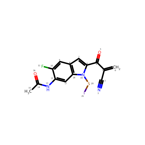 C=C(C#N)C(=O)c1cc2cc(F)c(NC(C)=O)cc2n1SI